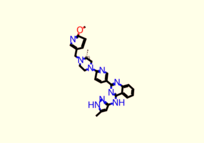 COc1ccc(CN2CCN(c3ccc(-c4nc(Nc5cc(C)[nH]n5)c5ccccc5n4)cn3)C[C@H]2C)cn1